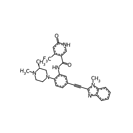 C[C@H]1CN(c2ccc(C#Cc3nc4ccccc4n3C)cc2NC(=O)c2c[nH]c(=O)cc2C(F)(F)F)CCN1C